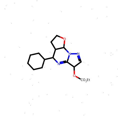 CCOC(=O)OC1C=NN2C1=NC(C1CCCCC1)C1CCOC12